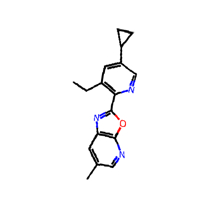 CCc1cc(C2CC2)cnc1-c1nc2cc(C)cnc2o1